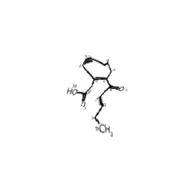 CCCCC(=O)C1=C(C(=O)O)C=CCC1